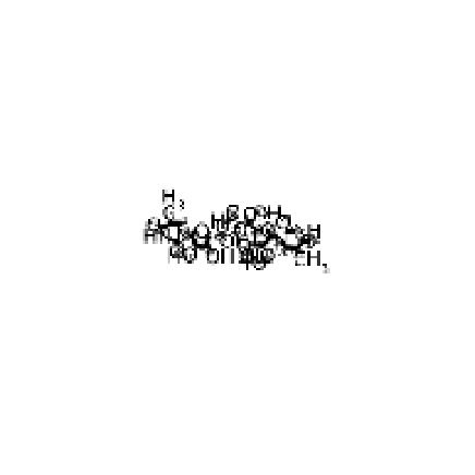 Cc1cn([C@@H]2O[C@H](C(O)O[PH](=O)OC(OO)[C@H]3O[C@@H](n4cc(C)c(=O)[nH]c4=O)C(OO)C3OO)C(O)C2O)c(=O)[nH]c1=O